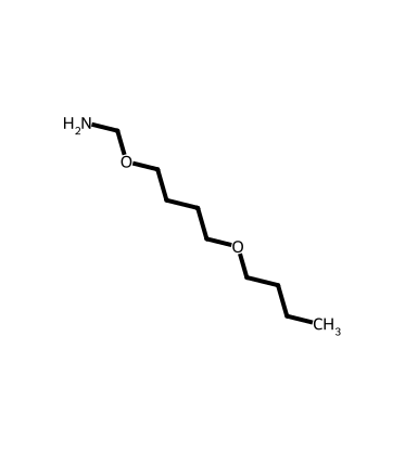 CCCCOCCCCOCN